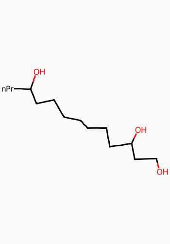 CCCC(O)CCCCCCCC(O)CCO